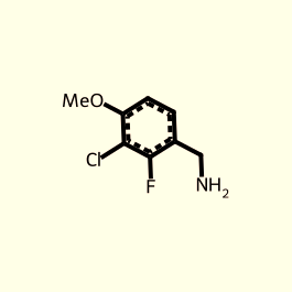 COc1ccc(CN)c(F)c1Cl